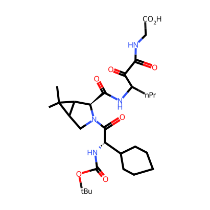 CCCC(NC(=O)[C@@H]1C2C(CN1C(=O)[C@@H](NC(=O)OC(C)(C)C)C1CCCCC1)C2(C)C)C(=O)C(=O)NCC(=O)O